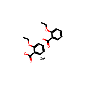 CCOc1ccccc1C(=O)[O-].CCOc1ccccc1C(=O)[O-].[Zn+2]